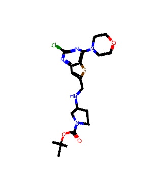 CC(C)(C)OC(=O)N1CCC(NCc2cc3nc(Cl)nc(N4CCOCC4)c3s2)C1